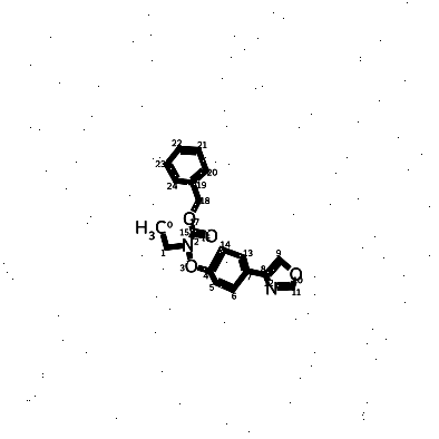 CCN(Oc1ccc(-c2cocn2)cc1)C(=O)OCc1ccccc1